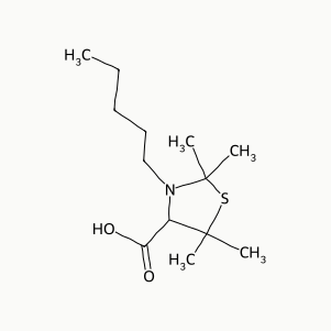 CCCCCN1C(C(=O)O)C(C)(C)SC1(C)C